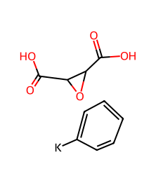 O=C(O)C1OC1C(=O)O.[K][c]1ccccc1